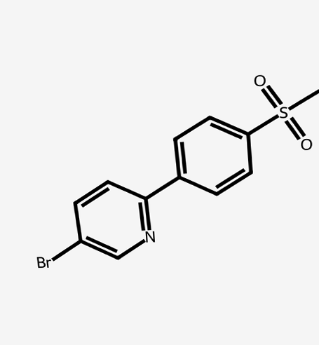 CS(=O)(=O)c1ccc(-c2ccc(Br)cn2)cc1